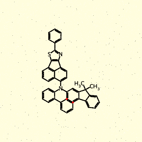 CC1(C)c2ccccc2-c2ccc(N(c3ccccc3-c3ccccc3)c3ccc4c5c(cccc35)-c3sc(-c5ccccc5)nc3-4)cc21